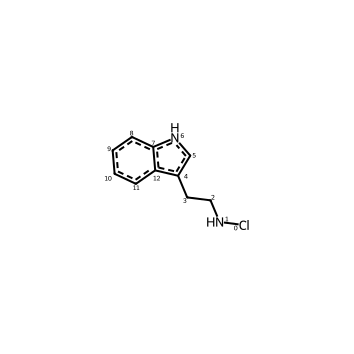 ClNCCc1c[nH]c2ccccc12